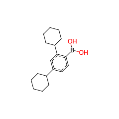 OB(O)c1ccc(C2CCCCC2)cc1C1CCCCC1